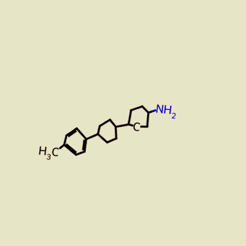 Cc1ccc(C2CCC(C3CCC(N)CC3)CC2)cc1